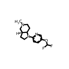 CN1CCC2[C@H](CCN2c2ccc(OC(F)F)cn2)C1